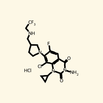 Cl.Nn1c(=O)c2cc(F)c(N3CCC(CNCC(F)(F)F)C3)c(Cl)c2n(C2CC2)c1=O